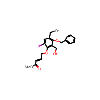 COC(=O)/C=C/COc1c(I)cc(CC(C)C)c(OCc2ccccc2)c1CO